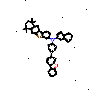 CC1(C)CCC(C)(C)c2cc3c(cc21)sc1cc(N(c2ccc(-c4ccc5c(c4)oc4ccccc45)cc2)c2ccc4ccccc4c2)ccc13